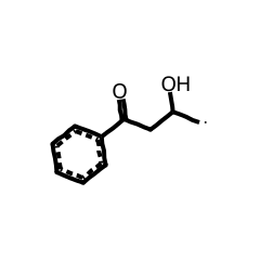 [CH2]C(O)CC(=O)c1ccccc1